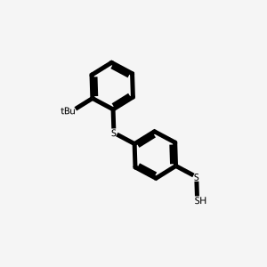 CC(C)(C)c1ccccc1Sc1ccc(SS)cc1